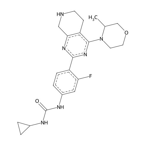 CC1COCCN1c1nc(-c2ccc(NC(=O)NC3CC3)cc2F)nc2c1CCNC2